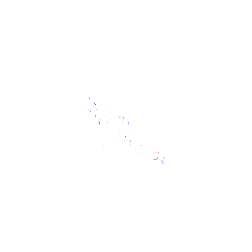 Cc1noc(C)c1-c1ccc(CN(C(=O)C2CCCN(c3cccc(OC(C)(C)C(=O)N4CCNCC4)c3)C2)C2CC2)cc1.Cl